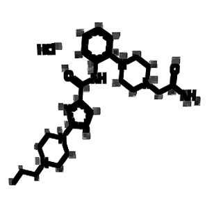 CCCN1CCN(c2nc(C(=O)Nc3ccccc3N3CCN(CC(N)=O)CC3)cs2)CC1.Cl